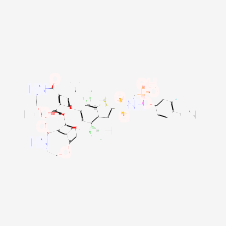 N#Cc1ccc(OP(=O)(O)CNS(=O)(=O)c2cc3c(Cl)c(-c4cc5c(CC(=O)O)c(c4CC(=O)O)C(=O)NCCO5)c(-c4cc5c(CC(=O)O)c(c4CC(=O)O)C(=O)NCCO5)c(Cl)c3s2)cc1F